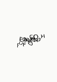 O=C(N[C@@H]1CCN(C2CCCC2)C[C@H]1C(=O)O)c1cc(-c2c(F)cc(F)cc2F)on1